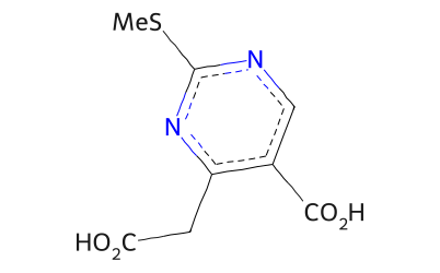 CSc1ncc(C(=O)O)c(CC(=O)O)n1